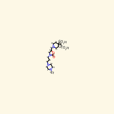 CCN1CCN(CCCN2CC(CN3CCC(CC(=O)O)(C(=O)O)CC3)OC2=O)CC1